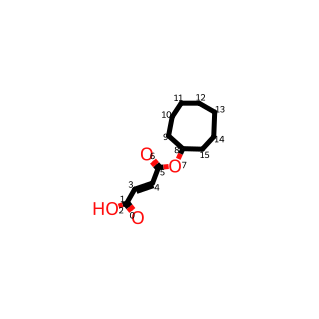 O=C(O)C=CC(=O)OC1CCCCCCC1